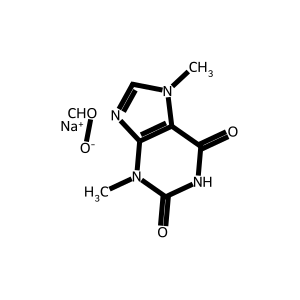 Cn1cnc2c1c(=O)[nH]c(=O)n2C.O=C[O-].[Na+]